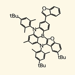 Cc1cc2c3c(c1)N(c1c(C)cc(C(C)(C)C)cc1C)c1c(oc4ccc(C(C)(C)C)cc14)B3c1ccc(-c3coc4ccccc34)cc1N2c1c(C)cc(C(C)(C)C)cc1C